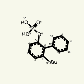 CCCCc1cccc(OP(=O)(O)O)c1-c1ccccc1